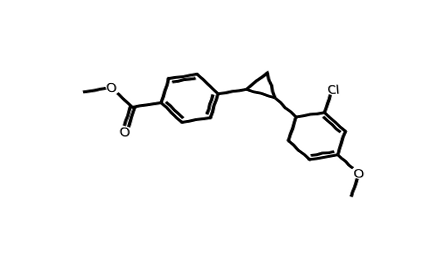 COC(=O)c1ccc(C2CC2C2CC=C(OC)C=C2Cl)cc1